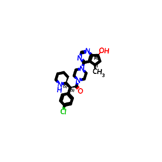 C[C@@H]1C[C@@H](O)c2ncnc(N3CCN(C(=O)[C@@H](c4ccc(Cl)cc4)[C@@H]4CCCCN4)CC3)c21